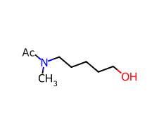 CC(=O)N(C)CCCCCO